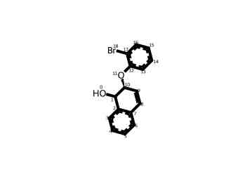 OC1c2ccccc2C=C[C@@H]1Oc1ccccc1Br